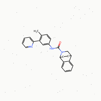 Cc1ccc(NC(=O)N2CC3CCC2c2ccccc23)cc1-c1ccccn1